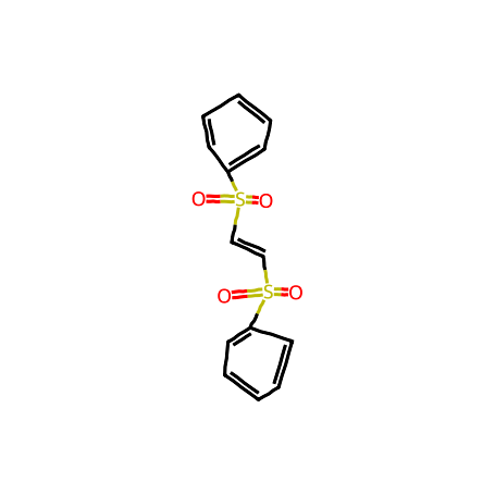 O=S(=O)(C=CS(=O)(=O)c1ccccc1)c1ccccc1